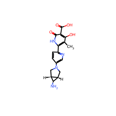 Cc1c(-c2ccc(N3C[C@@H]4[C@@H](N)[C@@H]4C3)cn2)[nH]c(=O)c(C(=O)O)c1O